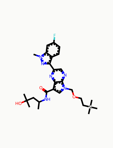 CC(CC(C)(C)O)NC(=O)c1cn(COCC[Si](C)(C)C)c2ncc(-c3nn(C)c4cc(F)ccc34)nc12